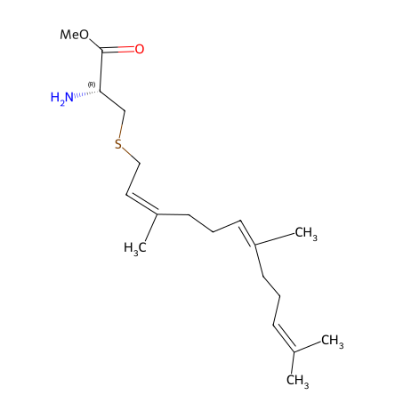 COC(=O)[C@@H](N)CSCC=C(C)CCC=C(C)CCC=C(C)C